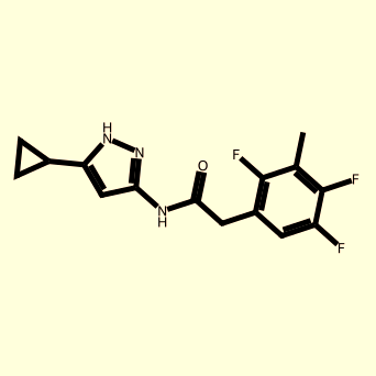 Cc1c(F)c(F)cc(CC(=O)Nc2cc(C3CC3)[nH]n2)c1F